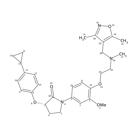 COc1cc(N2CC[C@H](Oc3ccc(C4CC4)cc3)C2=O)ccc1OCCN(C)Cc1c(C)noc1C